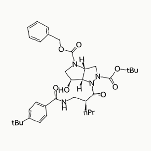 CCC[C@@H](CNC(=O)c1ccc(C(C)(C)C)cc1)C(=O)N1[C@H]2[C@@H](CN1C(=O)OC(C)(C)C)N(C(=O)OCc1ccccc1)C[C@@H]2O